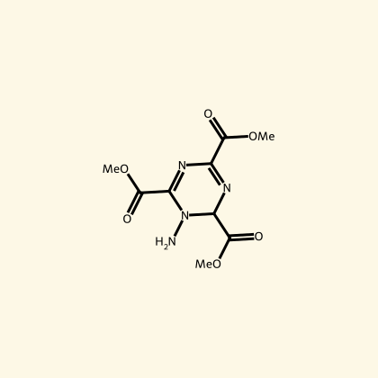 COC(=O)C1=NC(C(=O)OC)N(N)C(C(=O)OC)=N1